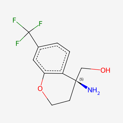 N[C@@]1(CO)CCOc2cc(C(F)(F)F)ccc21